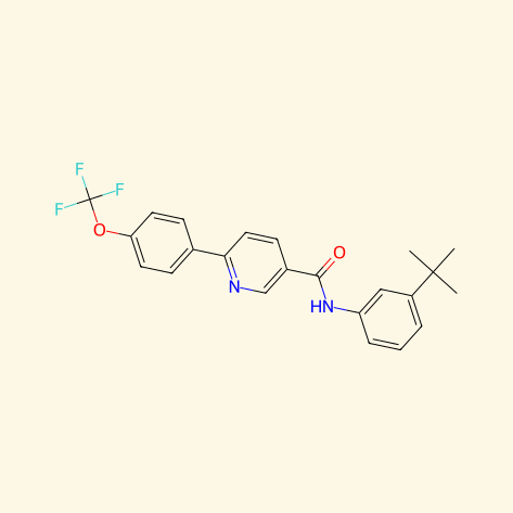 CC(C)(C)c1cccc(NC(=O)c2ccc(-c3ccc(OC(F)(F)F)cc3)nc2)c1